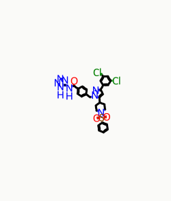 O=C(Nc1nnn[nH]1)c1ccc(Cn2nc(-c3cc(Cl)cc(Cl)c3)cc2C2CCN(S(=O)(=O)c3ccccc3)CC2)cc1